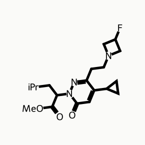 COC(=O)C(CC(C)C)n1nc(CCN2CC(F)C2)c(C2CC2)cc1=O